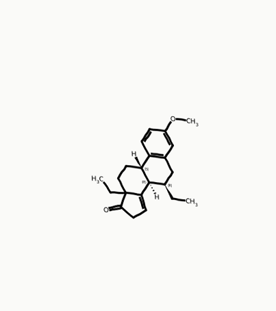 CC[C@@H]1Cc2cc(OC)ccc2[C@H]2CCC3(CC)C(=O)CC=C3[C@H]12